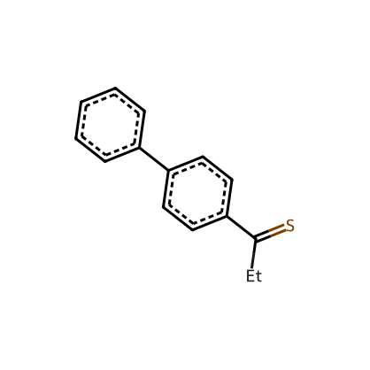 CCC(=S)c1ccc(-c2ccccc2)cc1